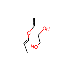 C=CO/C=C/C.OCCO